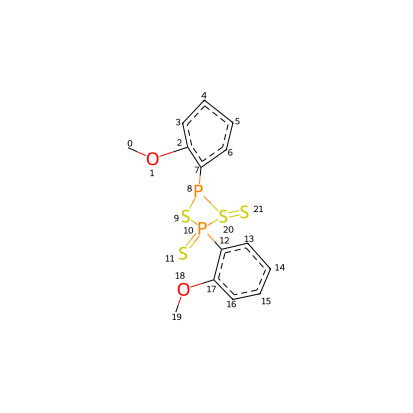 COc1ccccc1P1SP(=S)(c2ccccc2OC)S1=S